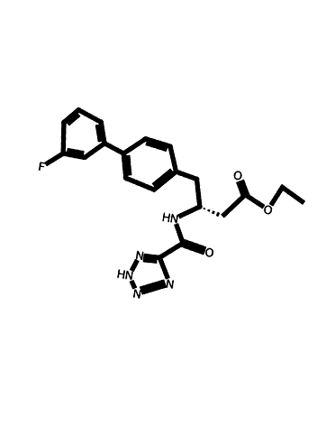 CCOC(=O)C[C@@H](Cc1ccc(-c2cccc(F)c2)cc1)NC(=O)c1nn[nH]n1